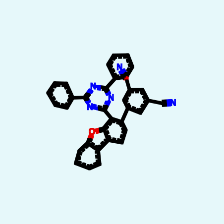 N#Cc1cc(C#N)cc(-c2ccc3c(oc4ccccc43)c2-c2nc(-c3ccccc3)nc(-c3ccccc3)n2)c1